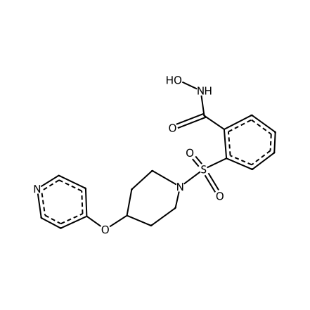 O=C(NO)c1ccccc1S(=O)(=O)N1CCC(Oc2ccncc2)CC1